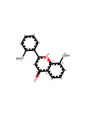 COc1ccccc1-c1cc(=O)c2cccc(OC)c2o1